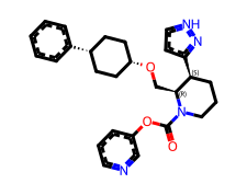 O=C(Oc1cccnc1)N1CCC[C@H](c2cc[nH]n2)[C@@H]1CO[C@H]1CC[C@@H](c2ccccc2)CC1